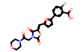 O=C(O)c1cc(-c2ccc(/C=C3\SC(=O)N(CC(=O)N4CCOCC4)C3=O)o2)ccc1Cl